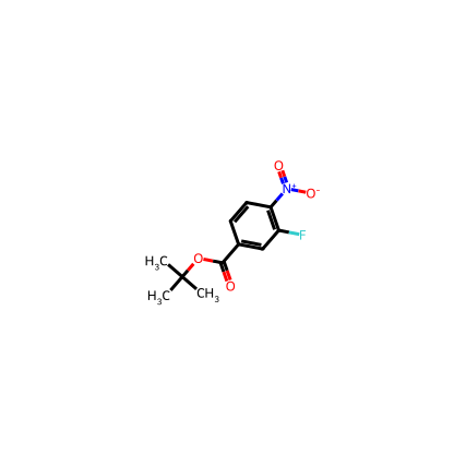 CC(C)(C)OC(=O)c1ccc([N+](=O)[O-])c(F)c1